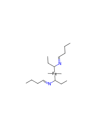 CCCC=N[CH](CC)[Fe]([CH3])([CH3])[CH](CC)N=CCCC